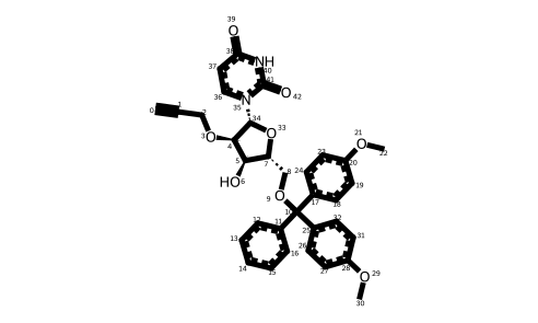 C#CCO[C@@H]1[C@H](O)[C@@H](COC(c2ccccc2)(c2ccc(OC)cc2)c2ccc(OC)cc2)O[C@H]1n1ccc(=O)[nH]c1=O